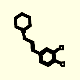 Clc1ccc(C=CCN2CCCCC2)cc1Cl